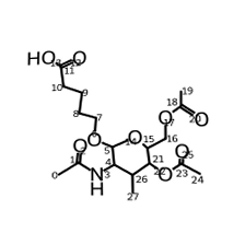 CC(=O)NC1C(OCCCCC(=O)O)OC(COC(C)=O)C(OC(C)=O)C1C